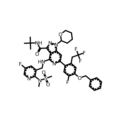 CN(c1ncc(F)cc1CNc1nc(-c2cc(F)c(OCc3ccccc3)cc2CC(F)(F)F)cc2c1c(C(=O)NC(C)(C)C)nn2C1CCCCO1)S(C)(=O)=O